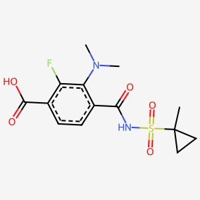 CN(C)c1c(C(=O)NS(=O)(=O)C2(C)CC2)ccc(C(=O)O)c1F